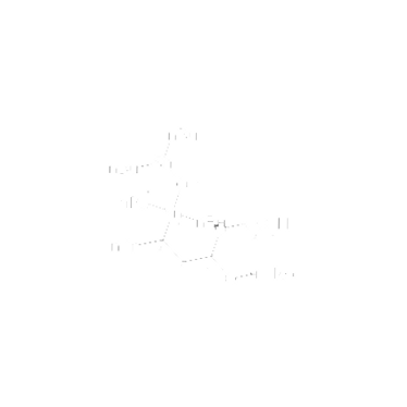 CCCCCCOC(C[CH](CCC)[Sn]([CH2]CCC)([CH2]CCC)[O][SnH]([CH2]CCC)[CH2]CCC)OC(=O)O